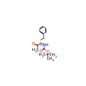 CC(=O)[C@H](CCc1ccccc1)NC(=O)OC(C)(C)C